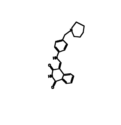 O=C1NC(=O)c2ccccc2C1=CNc1ccc(CN2CCCCCC2)cc1